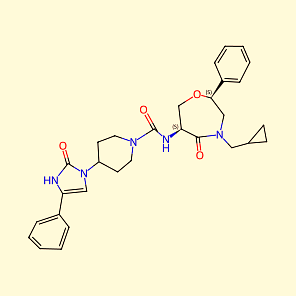 O=C(N[C@H]1CO[C@@H](c2ccccc2)CN(CC2CC2)C1=O)N1CCC(n2cc(-c3ccccc3)[nH]c2=O)CC1